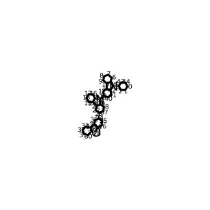 c1ccc(-n2c3ccccc3c3cc(-n4c5ccccc5c5cc(-c6ccc7oc8ccccc8c7c6)ccc54)ccc32)cc1